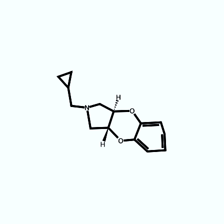 c1ccc2c(c1)O[C@@H]1CN(CC3CC3)C[C@H]1O2